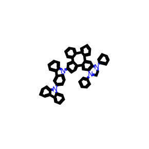 c1ccc(N2CCN(c3ccccc3)c3cc4c(cc32)-c2ccccc2-c2ccccc2-c2cc(-n3c5ccccc5c5cc(-n6c7ccccc7c7ccccc76)ccc53)ccc2-4)cc1